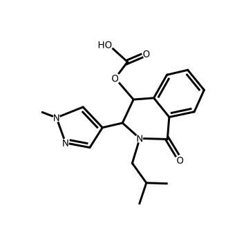 CC(C)CN1C(=O)c2ccccc2C(OC(=O)O)C1c1cnn(C)c1